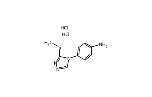 CSc1nncn1-c1ccc(N)cc1.Cl.Cl